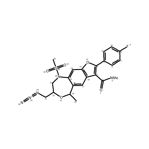 CNC(=O)c1c(-c2ccc(F)cc2)oc2cc3c(cc12)C(C)OC(CN=[N+]=[N-])CN3S(C)(=O)=O